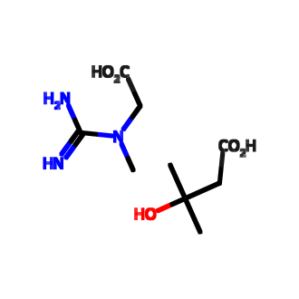 CC(C)(O)CC(=O)O.CN(CC(=O)O)C(=N)N